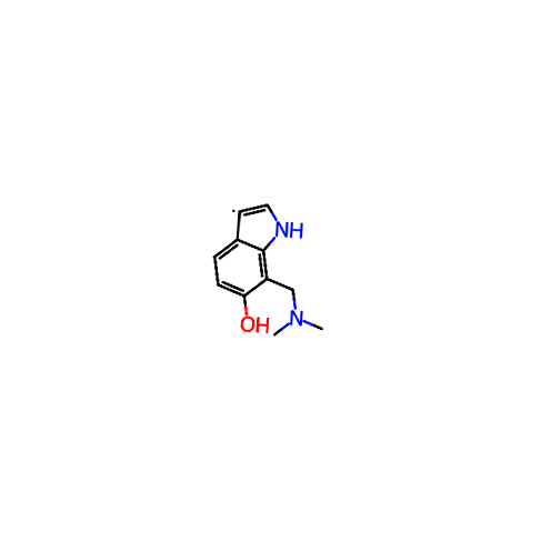 CN(C)Cc1c(O)ccc2[c]c[nH]c12